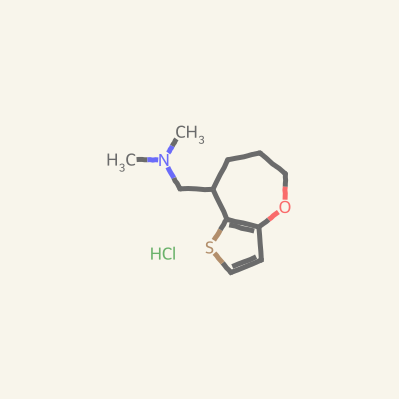 CN(C)CC1CCCOc2ccsc21.Cl